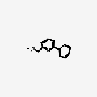 NCc1cccc(-c2ccccc2)n1